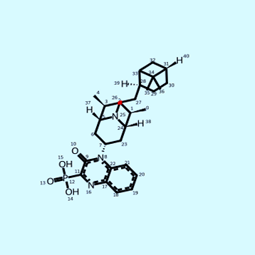 C[C@@H]1C[C@H](C)[C@H]2C[C@@H](n3c(=O)c(P(=O)(O)O)nc4ccccc43)C[C@@H]1N2CC[C@@H]1CC[C@H]2CC1C2(C)C